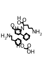 NCCCC(N)C(=O)O.NCCc1ccccc1.O=C(O)CO.O=Cc1ccc(-c2ccccc2)cc1